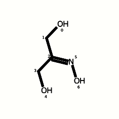 OCC(CO)=NO